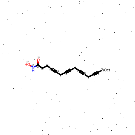 CCCCCCCCC#CCC#CCC#CCC#CCCC(=O)NO